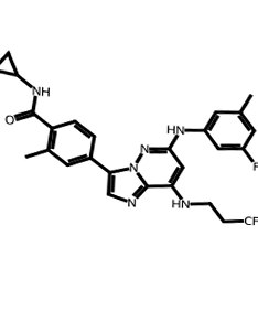 Cc1cc(F)cc(Nc2cc(NCCC(F)(F)F)c3ncc(-c4ccc(C(=O)NC5CC5)c(C)c4)n3n2)c1